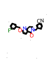 N#Cc1cccc(CN2CCc3nc(OCc4cccc(F)c4)ccc3C2=O)c1